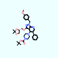 COc1ccc(Cn2nc(OC[C@@H]3COC(C)(C)O3)c3c(N4CCN(C(=O)OC(C)(C)C)CC4)c(-c4ccccc4)cnc32)cc1